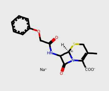 CC1=C(C(=O)[O-])N2C(=O)C(NC(=O)COc3ccccc3)[C@H]2SC1.[Na+]